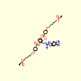 C=CC(=O)OCCCCCCOc1ccc(C(=O)Oc2ccc(OC(=O)c3ccc(OCCCCCCOC(=O)C=C)cc3)c(/C=N/Nc3nc4cc5nsnc5cc4s3)c2)cc1